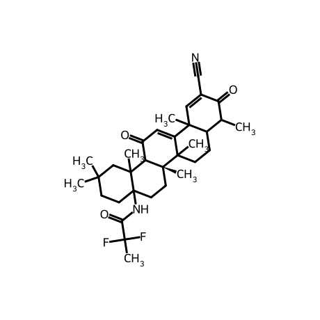 CC1C(=O)C(C#N)=CC2(C)C3=CC(=O)C4C5(C)CC(C)(C)CCC5(NC(=O)C(C)(F)F)CC[C@@]4(C)C3(C)CCC12